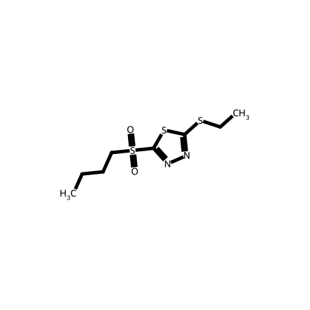 CCCCS(=O)(=O)c1nnc(SCC)s1